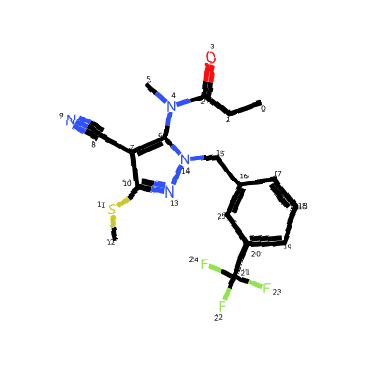 CCC(=O)N(C)c1c(C#N)c(SC)nn1Cc1cccc(C(F)(F)F)c1